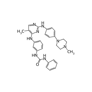 Cc1cnc(Nc2ccc(N3CCN(C)CC3)cc2)nc1Nc1cccc(NC(=O)Nc2ccccc2)c1